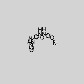 Cc1cnc(-c2ccc(NC(=O)Nc3ccc(OCCN(C)C)cc3)cc2)nc1N1CCOCC1